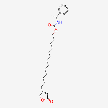 C[C@@H](NC(=O)OCCCCCCCCCCCCCC1=CC(=O)OC1)c1ccccc1